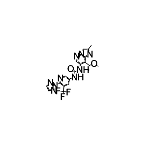 CO[C@H](C)c1c(NC(=O)Nc2cnc(-n3nccn3)c(C(F)(F)F)c2)cnn2cc(C)nc12